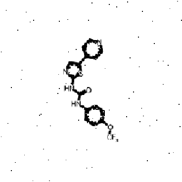 O=C(Nc1ccc(OC(F)(F)F)cc1)Nc1ncc(-c2ccncc2)s1